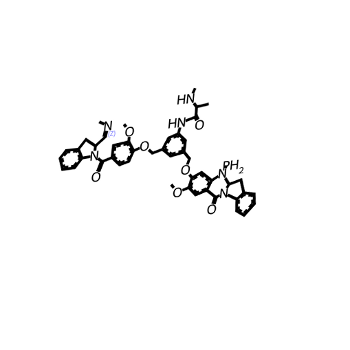 C/N=C\C1Cc2ccccc2N1C(=O)c1ccc(OCc2cc(COc3cc4c(cc3OC)C(=O)N3c5ccccc5CC3N4P)cc(NC(=O)C(C)NC)c2)c(OC)c1